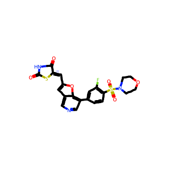 O=C1NC(=O)/C(=C/c2cc3cncc(-c4ccc(S(=O)(=O)N5CCOCC5)c(F)c4)c3o2)S1